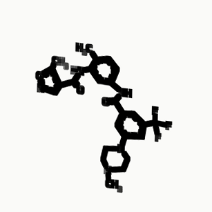 Cc1ccc(NC(=O)c2cc(N3CCN(C)CC3)cc(C(F)(F)F)c2)cc1NC(=O)c1cnoc1C